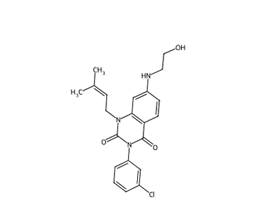 CC(C)=CCn1c(=O)n(-c2cccc(Cl)c2)c(=O)c2ccc(NCCO)cc21